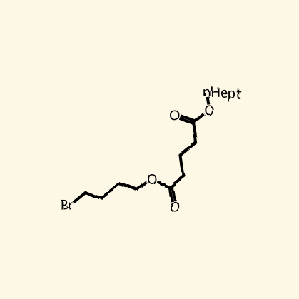 CCCCCCCOC(=O)CCCC(=O)OCCCCBr